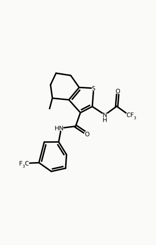 CC1CCCc2sc(NC(=O)C(F)(F)F)c(C(=O)Nc3cccc(C(F)(F)F)c3)c21